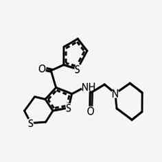 O=C(CN1CCCCC1)Nc1sc2c(c1C(=O)c1cccs1)CCSC2